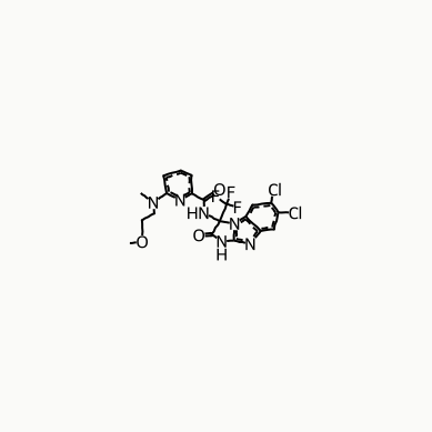 COCCN(C)c1cccc(C(=O)NC2(C(F)(F)F)C(=O)Nc3nc4cc(Cl)c(Cl)cc4n32)n1